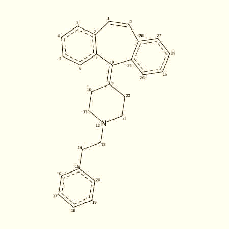 C1=Cc2ccccc2C(=C2CCN(CCc3ccccc3)CC2)c2ccccc21